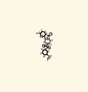 Cc1ccc2c(n1)C1CN(S(=O)(=O)c3cccc(CF)c3)CCN1C2=O